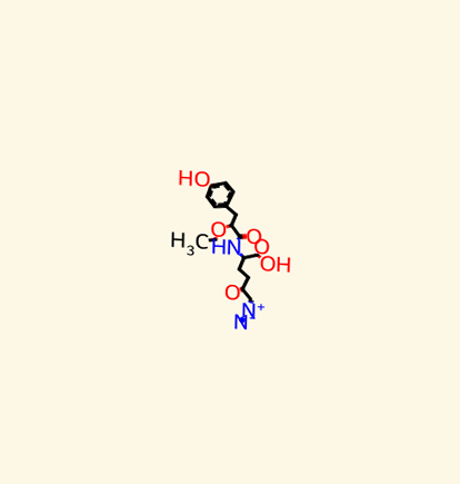 CCOC(Cc1ccc(O)cc1)C(=O)NC(CCC(=O)C=[N+]=[N-])C(=O)O